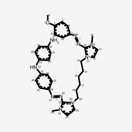 COc1ccc(/N=N/c2n(C)cc[n+]2CCCCCC[n+]2ccn(C)c2/N=N/c2ccc(Nc3ccc(N)cc3)cc2)cc1